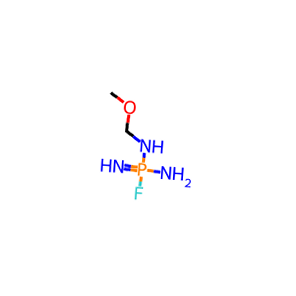 COCNP(=N)(N)F